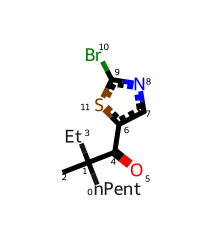 CCCCCC(C)(CC)C(=O)c1cnc(Br)s1